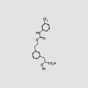 CC(C)OC(Cc1cccc(CCOC(=O)Nc2cccc(C(F)(F)F)c2)c1)C(=O)O